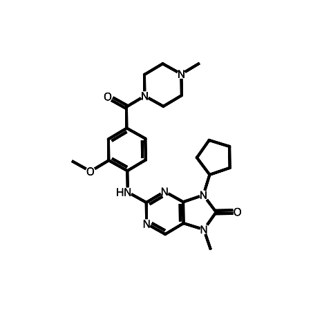 COc1cc(C(=O)N2CCN(C)CC2)ccc1Nc1ncc2c(n1)n(C1CCCC1)c(=O)n2C